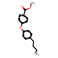 CCCCc1ccc(Oc2ccc(C(=O)OC)cc2)cc1